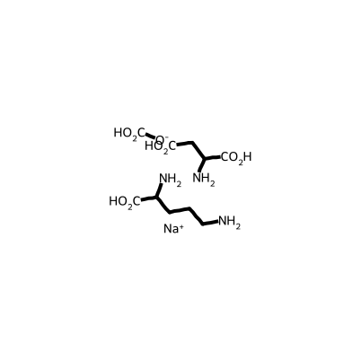 NC(CC(=O)O)C(=O)O.NCCCC(N)C(=O)O.O=C([O-])O.[Na+]